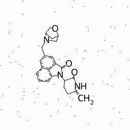 C=C1CCC(N2C(=O)c3cc(CN4CC5CC4CO5)cc4cccc2c34)C(=O)N1